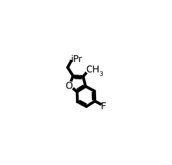 [CH2]C(C)Cc1oc2ccc(F)cc2c1C